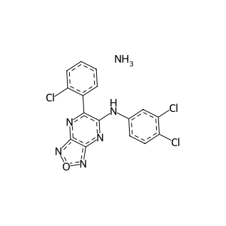 Clc1ccc(Nc2nc3nonc3nc2-c2ccccc2Cl)cc1Cl.N